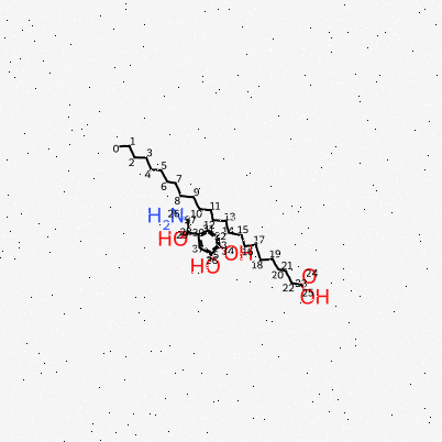 CCCCCCCCCCCCCCCCCCCCCCCC(=O)O.NCC(O)c1ccc(O)c(O)c1